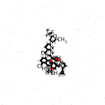 C[C@@H]1CN(c2ccc3c(=O)n(-c4ccc(Cl)c5c(NS(C)(=O)=O)nn(CC(F)(F)F)c45)c([C@H](Cc4cc(F)cc(F)c4)NC(=O)Cn4ccc(C5CC5)n4)nc3n2)C[C@H](C(F)(F)F)O1